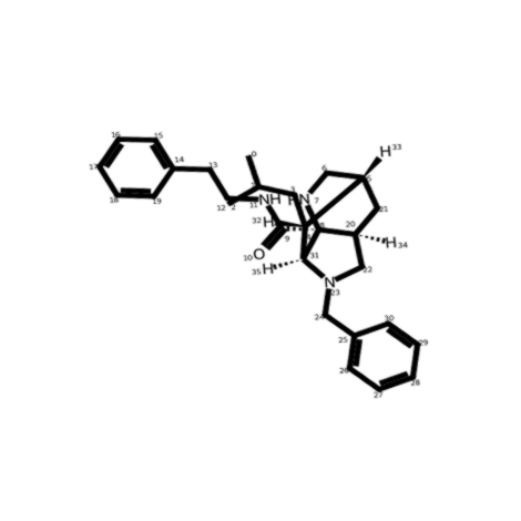 CC(C)C[C@@H]1[C@@H]2CN[C@@]3(C(=O)NCCc4ccccc4)[C@@H](C2)CN(Cc2ccccc2)[C@@H]13